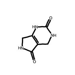 O=C1NCC2=C(CNC2=O)N1